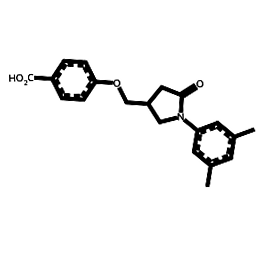 Cc1cc(C)cc(N2CC(COc3ccc(C(=O)O)cc3)CC2=O)c1